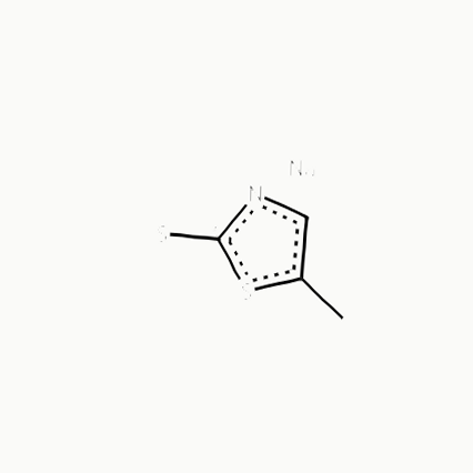 Cc1cnc([S-])s1.[Na+]